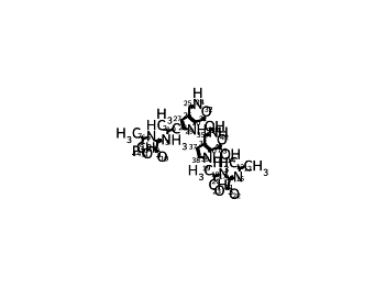 CC(C)N=C(NC(C)C)C(=O)[O-].CC(C)N=C(NC(C)C)C(=O)[O-].N=Cc1cc[nH]c1C(=O)O.N=Cc1cc[nH]c1C(=O)O.[Pt+2]